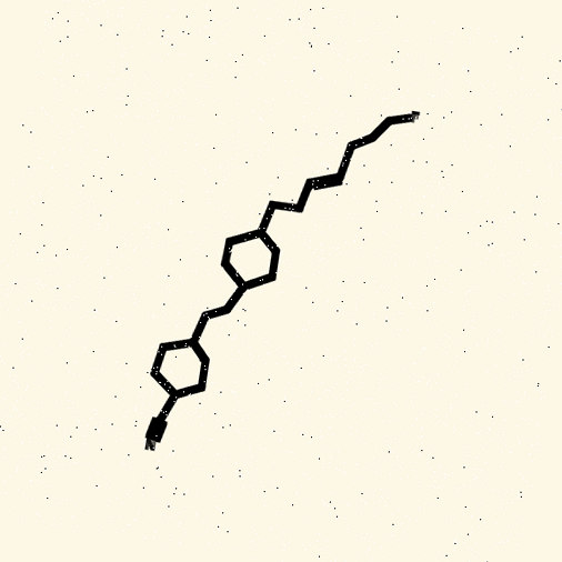 N#CC1CCC(CCC2CCC(CCC=CCCCF)CC2)CC1